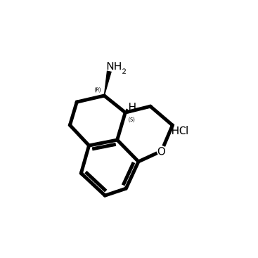 Cl.N[C@@H]1CCc2cccc3c2[C@@H]1CCO3